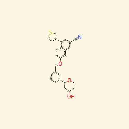 N#Cc1cc(-c2ccsc2)c2ccc(OCc3cccc(C4CC(O)CCO4)c3)cc2c1